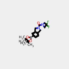 CC1(C)OB(c2ccc3c(c2)CN(C(=O)N2CC(F)(F)C2)C3)OC1(C)C